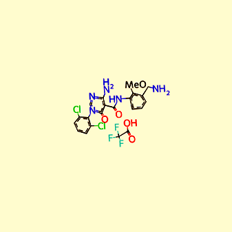 COc1c(CN)cccc1NC(=O)c1c(N)ncn(-c2c(Cl)cccc2Cl)c1=O.O=C(O)C(F)(F)F